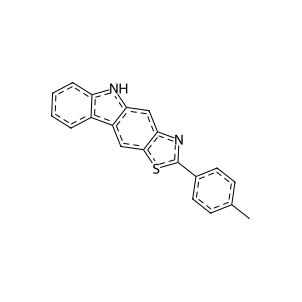 Cc1ccc(-c2nc3cc4[nH]c5ccccc5c4cc3s2)cc1